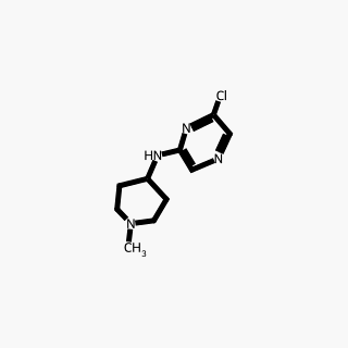 CN1CCC(Nc2cncc(Cl)n2)CC1